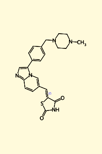 CN1CCN(Cc2ccc(-c3cnc4ccc(/C=C5\SC(=O)NC5=O)cn34)cc2)CC1